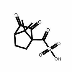 CC1(C)C2CCC1(C(=O)S(=O)(=O)O)C(=O)C2=O